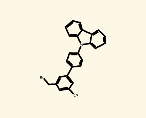 N#Cc1cc(CBr)cc(-c2ccc(-n3c4ccccc4c4ccccc43)cc2)c1